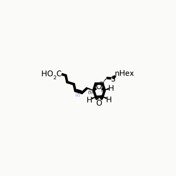 CCCCCCSC[C@H]1C[C@]2(C/C=C\CCCC(=O)O)O[C@H]1[C@@H]1O[C@@H]12